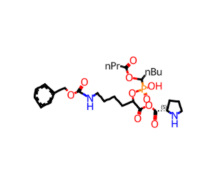 CCCCC(OC(=O)CCC)P(=O)(O)OC(CCCCNC(=O)OCc1ccccc1)C(=O)OC(=O)[C@@H]1CCCN1